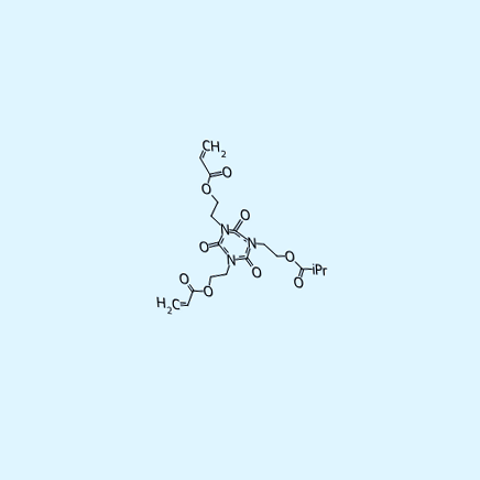 C=CC(=O)OCCn1c(=O)n(CCOC(=O)C=C)c(=O)n(CCOC(=O)C(C)C)c1=O